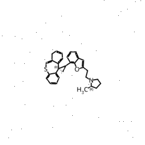 C[C@@H]1CCCN1CCc1cc2cccc(C3C[C@]34C3=CC=CCC3=CSc3ccccc34)c2o1